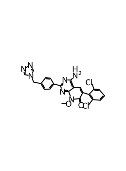 COn1c(=O)c(-c2c(Cl)cccc2Cl)cc2c(N)nc(-c3ccc(Cn4cnnc4)cc3)nc21